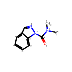 CC(C)N(C)C(=O)n1ncc2ccccc21